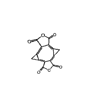 O=c1oc(=O)c2c3c(c4c(=O)oc(=O)c4c4c(c12)C4)C3